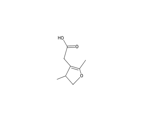 CC1=C(CC(=O)O)C(C)CO1